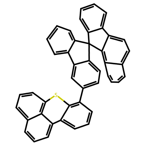 c1ccc2c(c1)-c1cc(-c3cccc4c3Sc3cccc5cccc-4c35)ccc1C21c2ccccc2-c2ccc3ccccc3c21